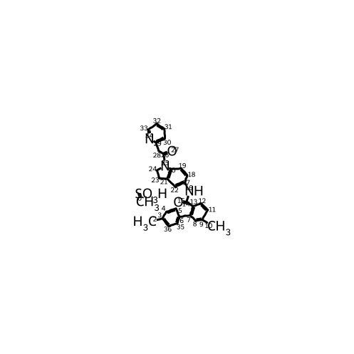 CS(=O)(=O)O.Cc1ccc(-c2cc(C)ccc2C(=O)Nc2ccc3c(c2)CCN3C(=O)Cc2ccccn2)cc1